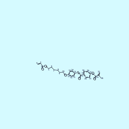 C=CC(=O)OCCCCCCOc1ccc(SC(=O)c2ccc(OC(=O)C(=C)C)cc2)cc1